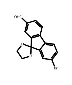 O=Cc1ccc2c(c1)C1(OCCO1)c1cc(Br)ccc1-2